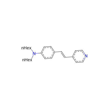 CCCCCCN(CCCCCC)c1ccc(C=Cc2ccncc2)cc1